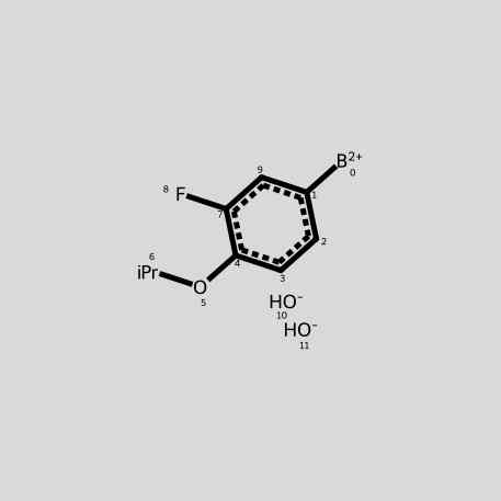 [B+2]c1ccc(OC(C)C)c(F)c1.[OH-].[OH-]